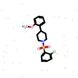 COc1ccccc1C1CCN(S(=O)(=O)c2ccccc2Cl)CC1